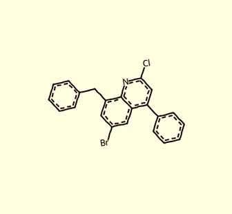 Clc1cc(-c2ccccc2)c2cc(Br)cc(Cc3ccccc3)c2n1